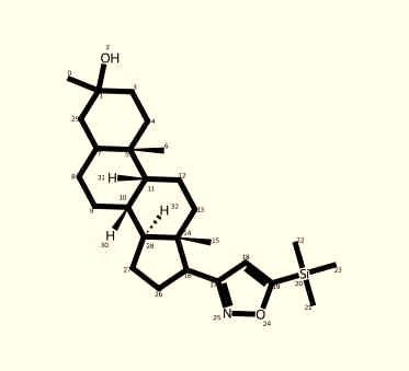 CC1(O)CC[C@@]2(C)C(CC[C@@H]3[C@H]2CC[C@]2(C)C(c4cc([Si](C)(C)C)on4)CC[C@@H]32)C1